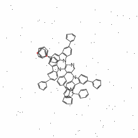 c1ccc(-c2ccc3c(c2)c2cc(-c4ccccc4)ccc2n3-c2cnc(-n3c4ccc(-c5ccccc5)cc4c4cc(-c5ccccc5)ccc43)c(-n3c4ccc(-c5ccccc5)cc4c4cc(-c5ccccc5)ccc43)c2-c2cccc(-c3cccc(-c4ccccc4)n3)c2)cc1